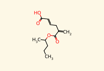 C=C(CC=CC(=O)O)C(=O)OC(C)CCC